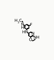 CCNc1cc(F)cc(Nc2cnc3c(c2)OCCN3)c1